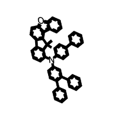 CC1(C)c2c(cccc2N(c2ccc(-c3ccccc3)cc2)c2ccc(-c3ccccc3)c(-c3ccccc3)c2)-c2ccc3oc4ccccc4c3c21